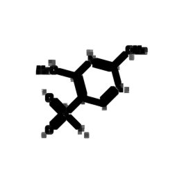 COc1ncc(S(=O)(=O)F)c(OC)n1